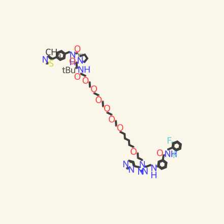 Cc1ncsc1-c1ccc(CNC(=O)[C@@H]2CCCN2C(=O)C(NC(=O)COCCOCCOCCOCCOCCOCCCCCCOCCCn2c(CNc3cccc(C(=O)NCc4c(F)cccc4F)c3)nnc2-c2ccncn2)C(C)(C)C)cc1